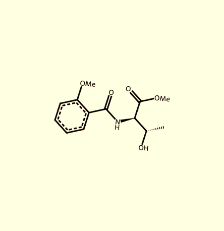 COC(=O)[C@H](NC(=O)c1ccccc1OC)[C@H](C)O